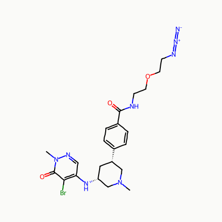 CN1C[C@H](Nc2cnn(C)c(=O)c2Br)C[C@H](c2ccc(C(=O)NCCOCCN=[N+]=[N-])cc2)C1